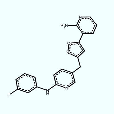 Nc1ncccc1-c1cc(Cc2ccc(Nc3cccc(F)c3)nc2)no1